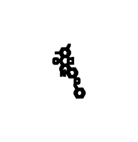 Cc1ccc(C(=O)c2cnc3cc(OCc4ccccc4)ccc3c2Cl)c(C)c1